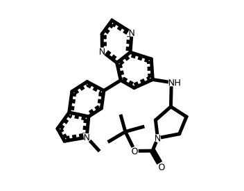 Cn1ccc2ccc(-c3cc(NC4CCN(C(=O)OC(C)(C)C)C4)cc4nccnc34)cc21